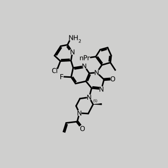 C=CC(=O)N1CCN(c2nc(=O)n(-c3c(C)cccc3CCC)c3nc(-c4nc(N)ccc4Cl)c(F)cc23)[C@@H](C)C1